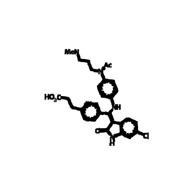 CNCCCN(C(C)=O)c1ccc(NC(=C2C(=O)Nc3cc(Cl)ccc32)c2ccc(CCC(=O)O)cc2)cc1